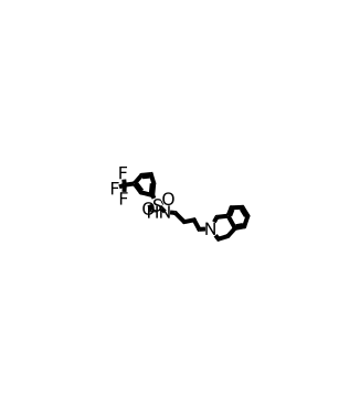 O=S(=O)(NCCCCN1CCc2ccccc2C1)c1cccc(C(F)(F)F)c1